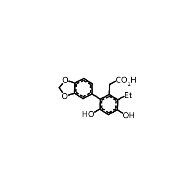 CCc1c(O)cc(O)c(-c2ccc3c(c2)OCO3)c1CC(=O)O